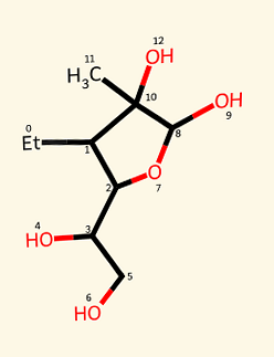 CCC1C(C(O)CO)OC(O)C1(C)O